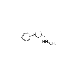 CNCC1CCN(c2ccncc2)C1